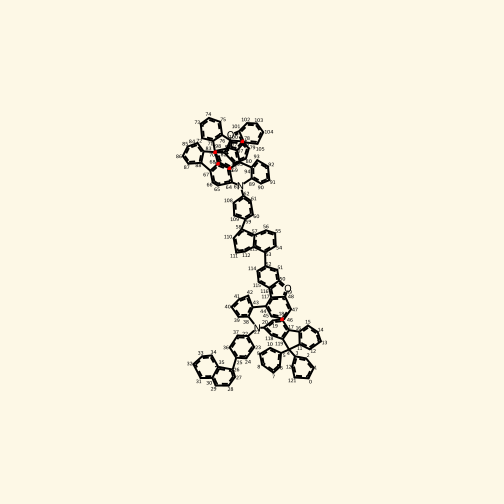 c1ccc(C2(c3ccccc3)c3ccccc3-c3ccc(N(c4ccc(-c5cccc6ccccc56)cc4)c4ccccc4-c4cccc5oc6cc(-c7cccc8c(-c9ccc(N(c%10ccc%11c(c%10)C%10(c%12ccccc%12-c%12ccccc%12%10)c%10ccccc%10-%11)c%10ccccc%10-c%10cccc%11oc%12ccccc%12c%10%11)cc9)cccc78)ccc6c45)cc32)cc1